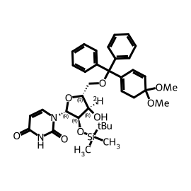 [2H][C@@]1(O)[C@@H](COC(C2=CCC(OC)(OC)C=C2)(c2ccccc2)c2ccccc2)O[C@@H](n2ccc(=O)[nH]c2=O)[C@@H]1O[Si](C)(C)C(C)(C)C